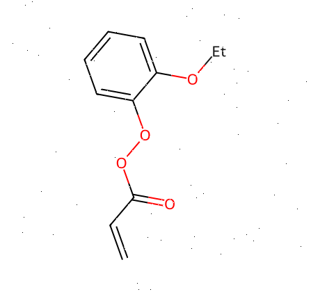 C=CC(=O)OOc1ccccc1OCC